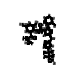 Cc1cccnc1-n1nc(Cn2cc(C(F)(F)C(F)(F)C(F)(F)F)nn2)cc1C(=O)Nc1c(C)cc(I)cc1C(=O)NC(C)C